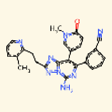 Cc1cccnc1CCc1nc2c(-c3ccc(=O)n(C)c3)c(-c3cccc(C#N)c3)nc(N)n2n1